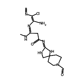 C=N/C(Cl)=C(N)\N=C(/CC(=O)/N=C1\NCC2(CCN(C=O)CC2)N1)NC